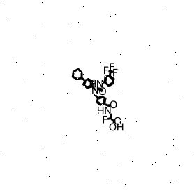 O=C(NCC(F)C(=O)O)c1ccc(CN(C(=O)Nc2cccc(C(F)(F)F)c2)c2ccc(C3CCCCC3)cc2)cc1